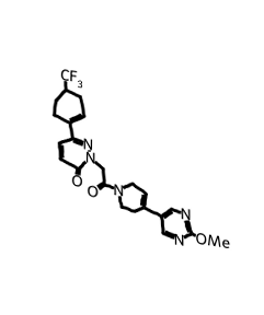 COc1ncc(C2=CCN(C(=O)Cn3nc(C4=CCC(C(F)(F)F)CC4)ccc3=O)CC2)cn1